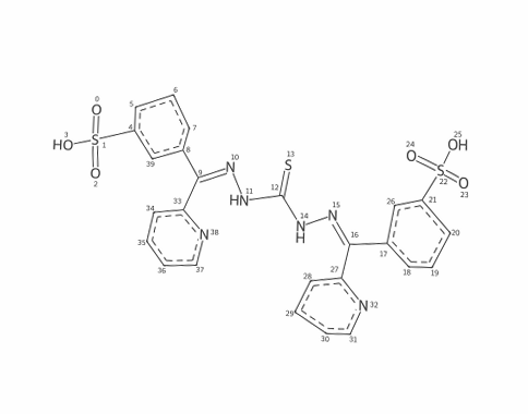 O=S(=O)(O)c1cccc(C(=NNC(=S)NN=C(c2cccc(S(=O)(=O)O)c2)c2ccccn2)c2ccccn2)c1